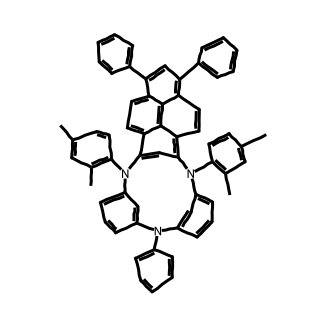 Cc1ccc(N2c3cccc(c3)N(c3ccccc3)c3cccc(c3)N(c3ccc(C)cc3C)c3cc2c2ccc4c(-c5ccccc5)cc(-c5ccccc5)c5ccc3c2c45)c(C)c1